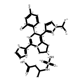 CCCC(=O)CC(C)NS(=O)(=O)N[C@H]1CC2=C(c3ccn(C(F)F)n3)[C@H](c3ccc(F)cc3Cl)N=C(c3nccs3)N2C1